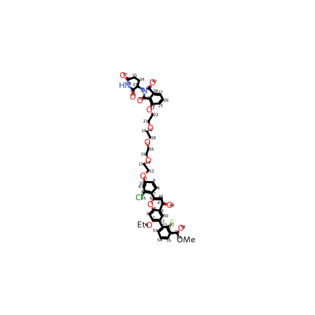 CCOc1cc2oc(-c3ccc(OCCOCCOCCOCCOc4cccc5c4C(=O)N(C4CCC(=O)NC4=O)C5=O)cc3Cl)cc(=O)c2cc1-c1cccc(C(=O)OC)c1F